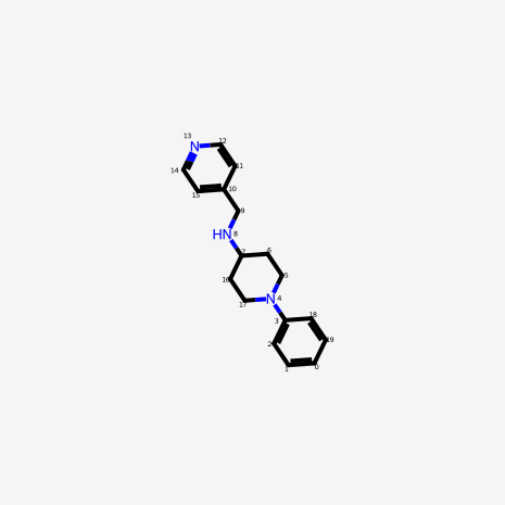 c1ccc(N2CCC(NCc3ccncc3)CC2)cc1